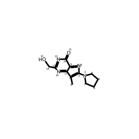 CC1=C(N2CCCC2)N=C2C(=O)N=C(CO)N=C21